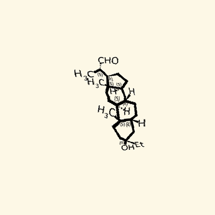 CC[C@@]1(O)CC[C@@]2(C)[C@H](CC[C@@H]3[C@@H]2CC[C@]2(C)[C@@H]([C@H](C)C=O)CC[C@@H]32)C1